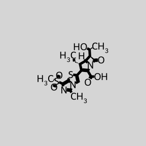 CC[C@H]1C(c2cn3c(C)nc(S(C)(=O)=O)c3s2)=C(C(=O)O)N2C(=O)[C@H]([C@@H](C)O)[C@@H]12